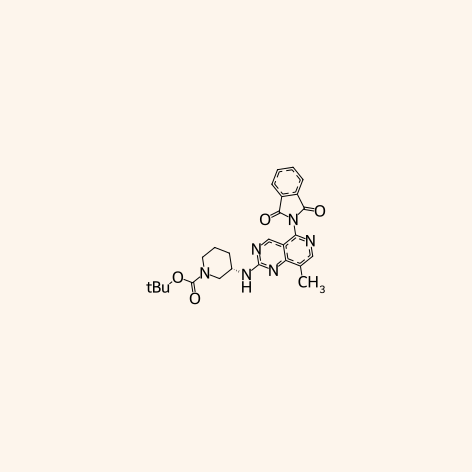 Cc1cnc(N2C(=O)c3ccccc3C2=O)c2cnc(N[C@H]3CCCN(C(=O)OC(C)(C)C)C3)nc12